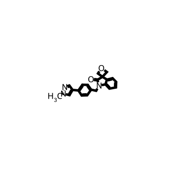 Cn1cc(-c2ccc(CN3C(=O)C4(COC4)c4ccccc43)cc2)cn1